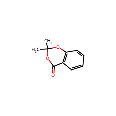 CC1(C)OC(=O)c2[c]cccc2O1